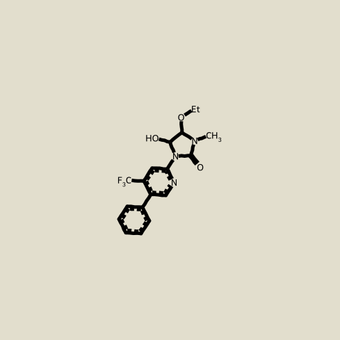 CCOC1C(O)N(c2cc(C(F)(F)F)c(-c3ccccc3)cn2)C(=O)N1C